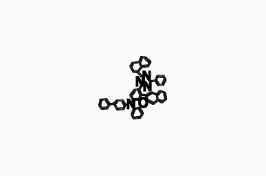 c1ccc(-c2ccc(N(c3ccccc3)c3ccc(-c4nc(-c5ccccc5)nc(-c5cccc6ccccc56)n4)c4c3oc3cc5ccccc5cc34)cc2)cc1